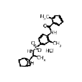 Cc1cc(S(=O)(=O)NC(C)C2CC3CCC2N3)ccc1NC(=O)c1ccccc1C.Cl